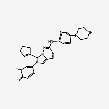 Cn1cc(-c2cc3cnc(Nc4ccc(N5CCNCC5)cn4)nn3c2C2=CCCC2)ncc1=O